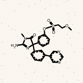 COCCS(=O)(=O)Oc1cccc(C2(c3cccc(-c4cncnc4)c3)N=C(N)N(C)C2=O)c1